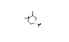 CC1CN(C(=O)O)C[C@H](C)C1(C)O